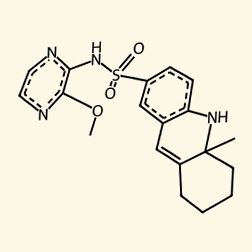 COc1nccnc1NS(=O)(=O)c1ccc2c(c1)C=C1CCCCC1(C)N2